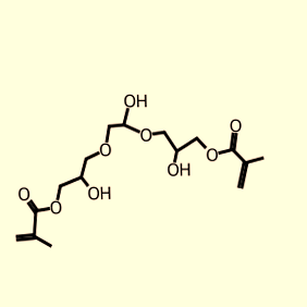 C=C(C)C(=O)OCC(O)COCC(O)OCC(O)COC(=O)C(=C)C